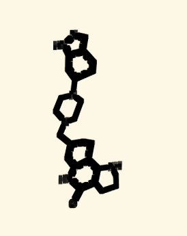 O=c1[nH]c2cc(CN3CCN(c4ccc5cn[nH]c5c4)CC3)ccc2c2c1CCCN2